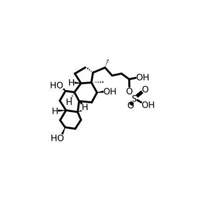 C[C@H](CCC(O)OS(=O)(=O)O)[C@H]1CC[C@H]2[C@@H]3[C@H](O)C[C@H]4C[C@H](O)CC[C@]4(C)[C@H]3C[C@H](O)[C@]12C